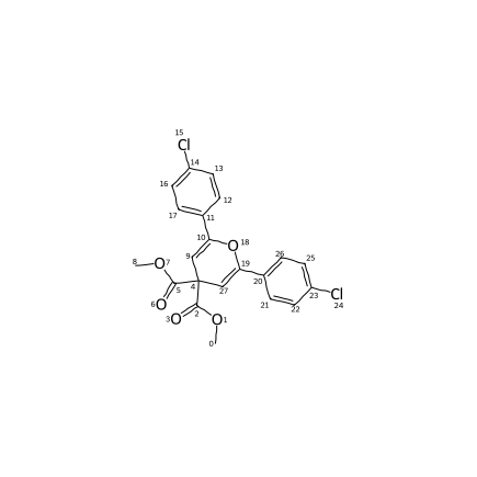 COC(=O)C1(C(=O)OC)C=C(c2ccc(Cl)cc2)OC(c2ccc(Cl)cc2)=C1